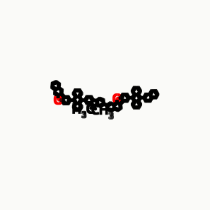 CC1(C)c2cc(-c3ccc4ccc5c6cc(-c7c8ccccc8c(-c8ccc9ccccc9c8)c8ccccc78)ccc6oc5c4c3)ccc2-c2ccc(-c3c4ccccc4c(-c4ccc5oc6cc7ccccc7cc6c5c4)c4ccccc34)cc21